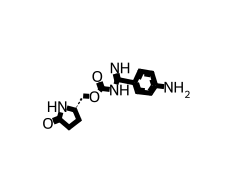 N=C(NC(=O)OC[C@@H]1CCC(=O)N1)c1ccc(N)cc1